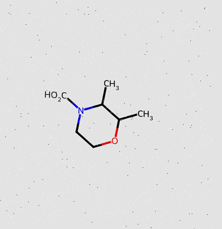 CC1OCCN(C(=O)O)C1C